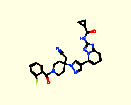 N#CCC1(n2cc(-c3cccc4nc(NC(=O)C5CC5)nn34)cn2)CCN(C(=O)c2ccccc2F)CC1